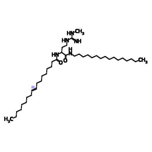 CCCCCCCC/C=C/CCCCCCCC(=O)NC(CCNC(=N)NC)C(=O)NCCCCCCCCCCCCCCCC